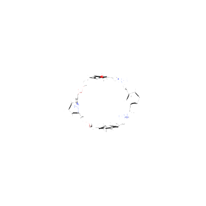 c1cc2cc(c1)CNCc1ccc(cc1)COCc1cccc(n1)COCc1ccc(cc1)CNC2